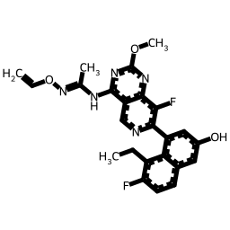 C=CO/N=C(\C)Nc1nc(OC)nc2c(F)c(-c3cc(O)cc4ccc(F)c(CC)c34)ncc12